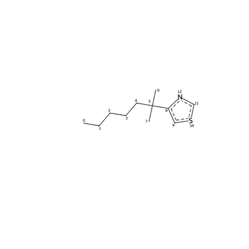 CCCCCC(C)(C)c1cscn1